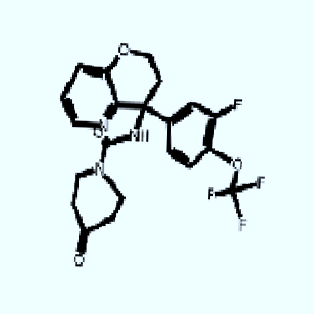 O=C1CCN(C(=O)NC2(c3ccc(OC(F)(F)F)c(F)c3)CCOc3cccnc32)CC1